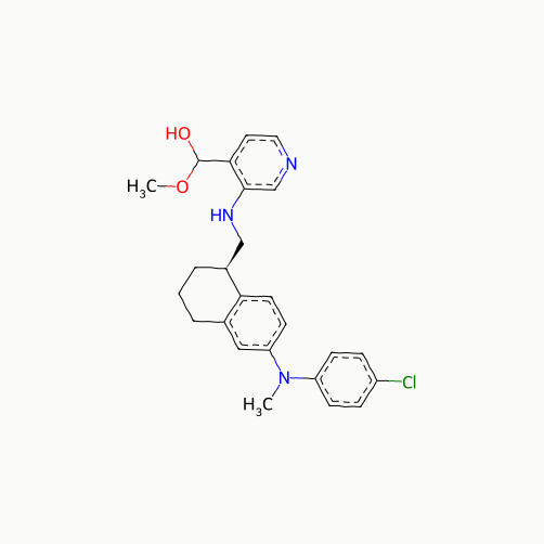 COC(O)c1ccncc1NC[C@@H]1CCCc2cc(N(C)c3ccc(Cl)cc3)ccc21